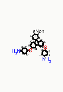 CCCCCCCCCC1CCC(c2ccc(Oc3ccc(N)cc3)cc2)(c2ccc(Oc3ccc(N)cc3)cc2)CC1